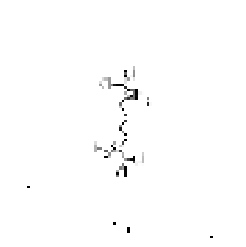 ClC(Cl)[SiH2]CCCC[SiH2]C(Cl)Cl